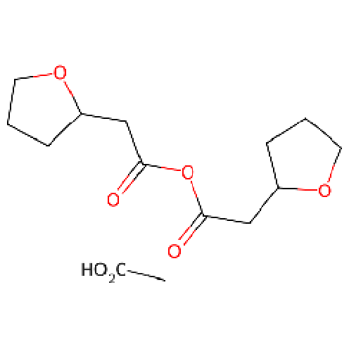 CC(=O)O.O=C(CC1CCCO1)OC(=O)CC1CCCO1